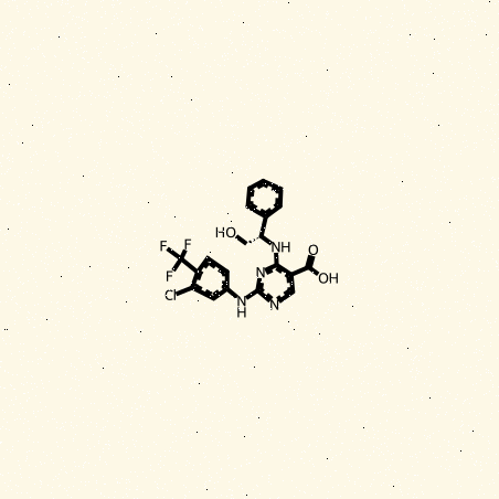 O=C(O)c1cnc(Nc2ccc(C(F)(F)F)c(Cl)c2)nc1N[C@H](CO)c1ccccc1